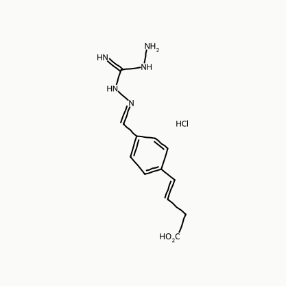 Cl.N=C(NN)NN=Cc1ccc(C=CCC(=O)O)cc1